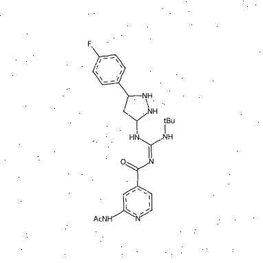 CC(=O)Nc1cc(C(=O)/N=C(\NC2CC(c3ccc(F)cc3)NN2)NC(C)(C)C)ccn1